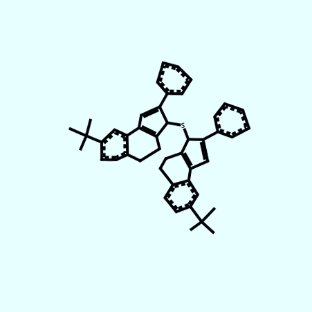 CC(C)(C)c1ccc2c(c1)C1=C(CC2)C(SC2C(c3ccccc3)=CC3=C2CCc2ccc(C(C)(C)C)cc23)C(c2ccccc2)=C1